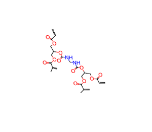 C=CC(=O)OCC(COC(=O)C(=C)C)OC(=O)NCNC(=O)OC(COC(=O)C=C)COC(=O)C(=C)C